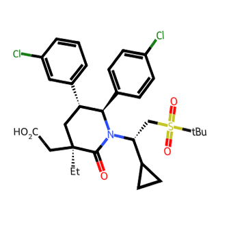 CC[C@]1(CC(=O)O)C[C@H](c2cccc(Cl)c2)[C@@H](c2ccc(Cl)cc2)N([C@H](CS(=O)(=O)C(C)(C)C)C2CC2)C1=O